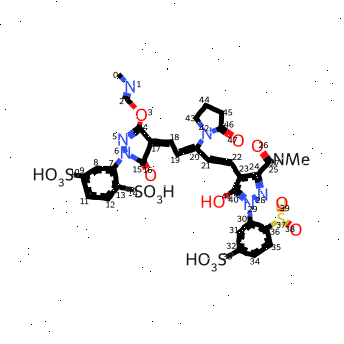 CN=COC1=NN(c2cc(S(=O)(=O)O)ccc2S(=O)(=O)O)C(=O)/C1=C\C=C(C=Cc1c(C(=O)NC)nn(-c2cc(S(=O)(=O)O)ccc2[SH](=O)=O)c1O)N1CCCC1=O